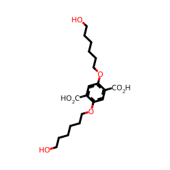 O=C(O)c1cc(OCCCCCCO)c(C(=O)O)cc1OCCCCCCO